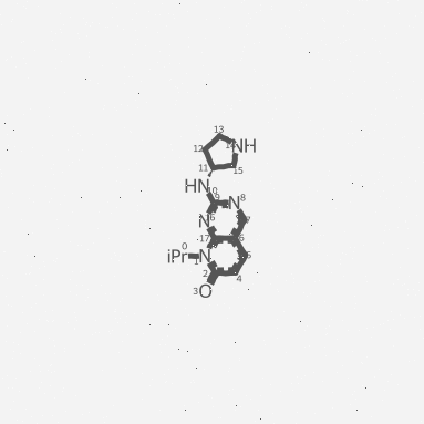 CC(C)n1c(=O)ccc2cnc(N[C@@H]3CCNC3)nc21